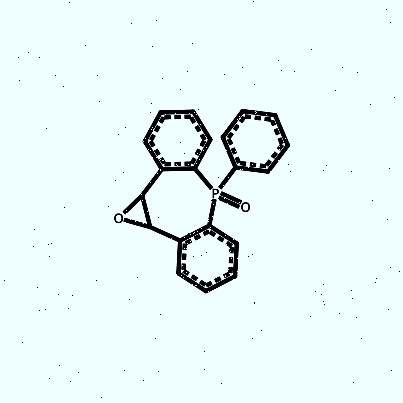 O=P1(c2ccccc2)c2ccccc2C2OC2c2ccccc21